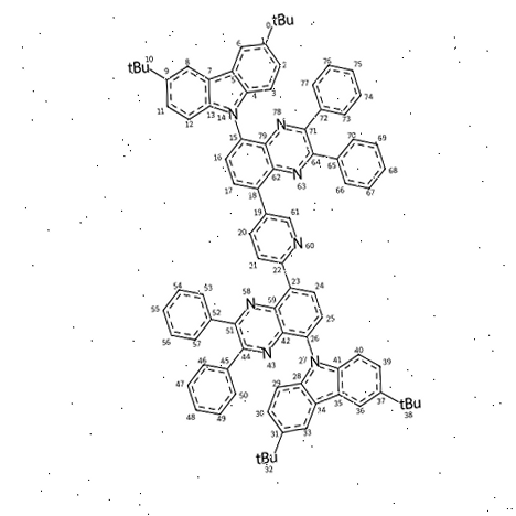 CC(C)(C)c1ccc2c(c1)c1cc(C(C)(C)C)ccc1n2-c1ccc(-c2ccc(-c3ccc(-n4c5ccc(C(C)(C)C)cc5c5cc(C(C)(C)C)ccc54)c4nc(-c5ccccc5)c(-c5ccccc5)nc34)nc2)c2nc(-c3ccccc3)c(-c3ccccc3)nc12